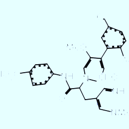 CN/C=C(\C=N)CC(C(=O)Nc1ccc(C(=O)O)cc1)N(C)/C=C(OC)\C(=C/C=O)c1cc(Cl)ccc1C(C)=O